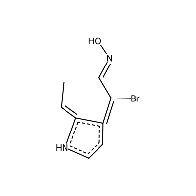 C/C=c1/[nH]cc/c1=C(Br)/C=N/O